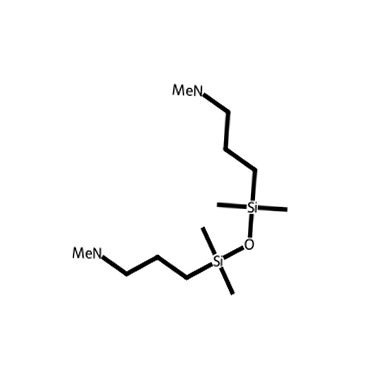 CNCCC[Si](C)(C)O[Si](C)(C)CCCNC